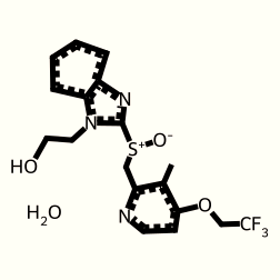 Cc1c(OCC(F)(F)F)ccnc1C[S+]([O-])c1nc2ccccc2n1CCO.O